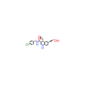 O=C=CC1C(C(=O)NCc2ccc(Cl)cc2)=CNc2ccc(C#CCO)cc21